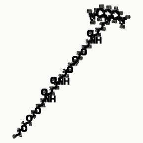 CCCOCCOCCOCCCNC(=O)CCCC(=O)NCCCOCCOCCOCCCNC(=O)CCCCC[n+]1c2cc(N(C)C)ccc2cc2ccc(N(C)C)cc21